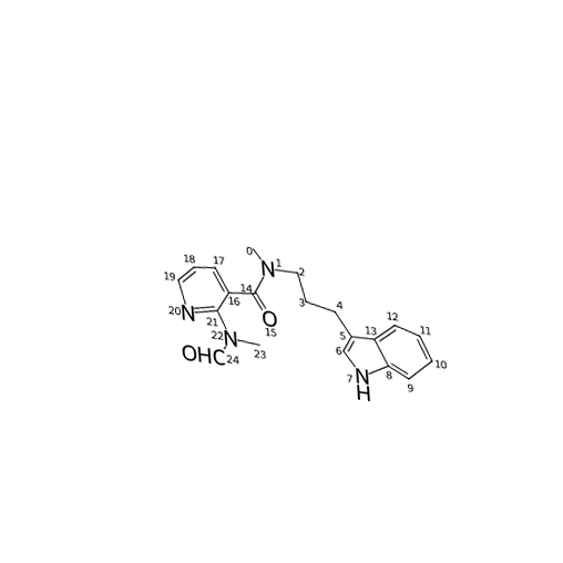 CN(CCCc1c[nH]c2ccccc12)C(=O)c1cccnc1N(C)C=O